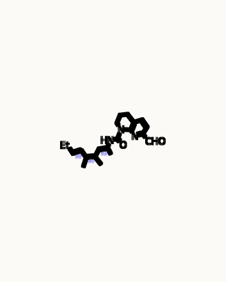 CC/C=C/C(C)=C(C)\C=C(/C)NC(=O)N1CCCc2ccc(C=O)nc21